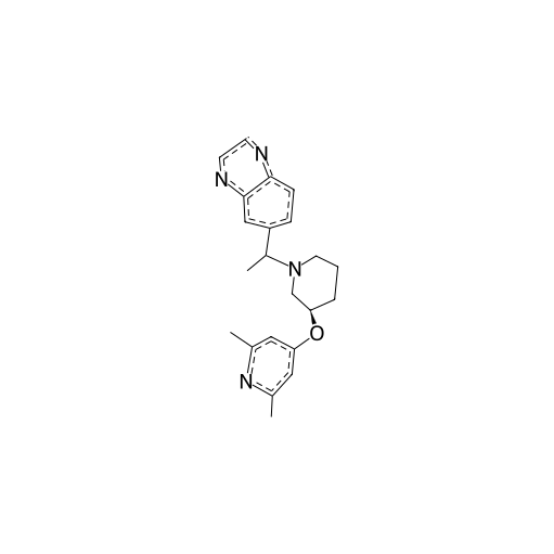 Cc1cc(O[C@@H]2CCCN(C(C)c3ccc4nccnc4c3)C2)cc(C)n1